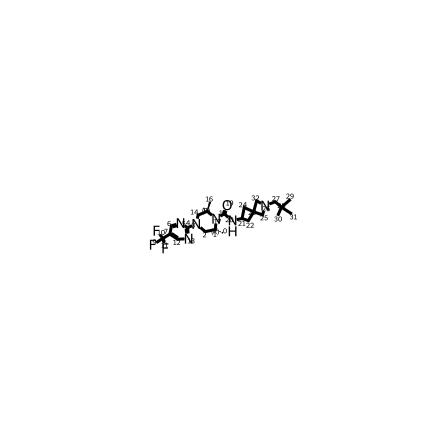 C[C@@H]1CN(c2ncc(C(F)(F)F)cn2)C[C@@H](C)N1C(=O)NC1CC2(C1)CN(CC(C)(C)C)C2